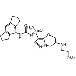 COCCNC1COc2c(S(N)(=O)=NC(=O)Nc3c4c(cc5c3CCC5)CCC4)cnn2C1